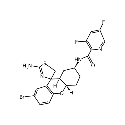 NC1=NC2(CS1)c1cc(Br)ccc1O[C@H]1CC[C@H](NC(=O)c3ncc(F)cc3F)C[C@@H]12